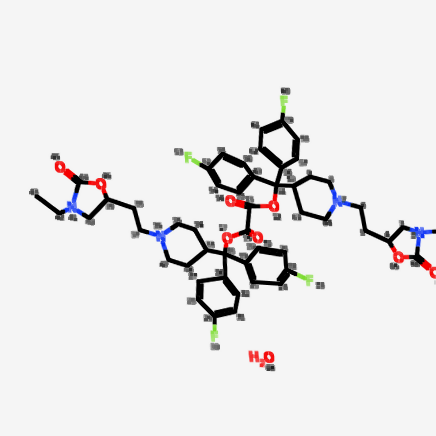 CCN1CC(CCN2CCC(C(OC(=O)C(=O)OC(c3ccc(F)cc3)(c3ccc(F)cc3)C3CCN(CCC4CN(CC)C(=O)O4)CC3)(c3ccc(F)cc3)c3ccc(F)cc3)CC2)OC1=O.O